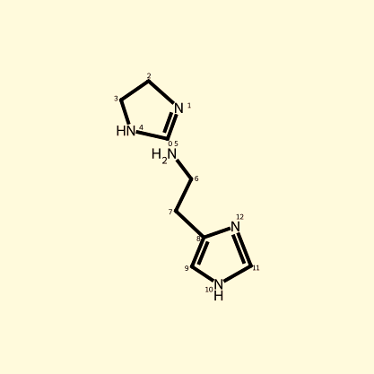 C1=NCCN1.NCCc1c[nH]cn1